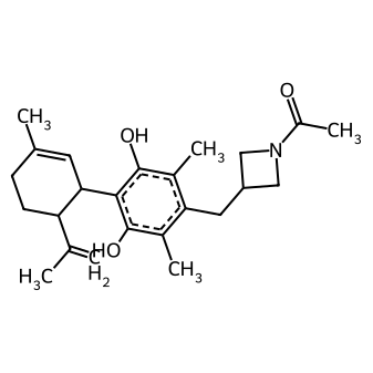 C=C(C)C1CCC(C)=CC1c1c(O)c(C)c(CC2CN(C(C)=O)C2)c(C)c1O